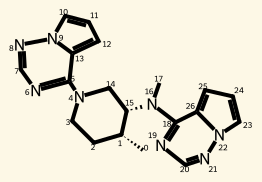 C[C@@H]1CCN(c2ncnn3cccc23)C[C@@H]1N(C)c1ncnn2cccc12